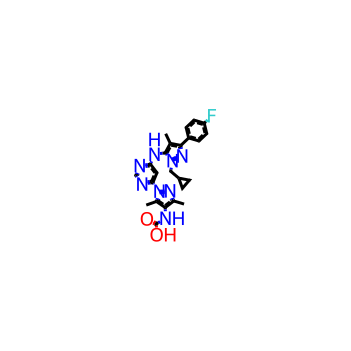 Cc1nn(-c2cc(Nc3c(C)c(-c4ccc(F)cc4)nn3CC3CC3)ncn2)c(C)c1NC(=O)O